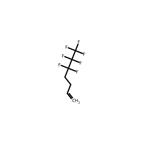 C=CCCC(F)(F)C(F)(F)C(F)(F)F